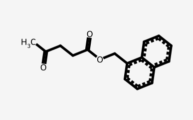 CC(=O)CCC(=O)OCc1cccc2ccccc12